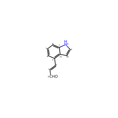 O=CC=Cc1cccc2[nH]ccc12